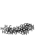 CC1O[C@@H](O[C@@H]2C(CO)O[C@@H](OC3CC[C@@]4(C)C(=CC[C@H]5[C@@H]6CC(=O)[C@H]([C@H](C)C(=O)CC[C@@H](C)CO[C@@H]7OC(CO)[C@@H](O)[C@H](O)C7O)[C@@]6(C)CC[C@@H]54)C3)C(O[C@@H]3OC(O)[C@H](O)[C@H](O)C3O)[C@H]2O)C(O)[C@@H](O)[C@H]1O